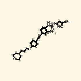 CC(C)(C)c1cc(NC(=O)Nc2ccc(C#Cc3ccc(OCCCN4CCOCC4)cc3)cc2P)no1